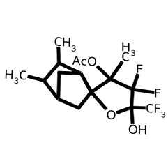 CC(=O)OC1(C)C2(CC3CC2C(C)C3C)OC(O)(C(F)(F)F)C1(F)F